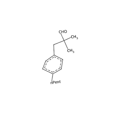 CCCCCc1ccc(CC(C)(C)C=O)cc1